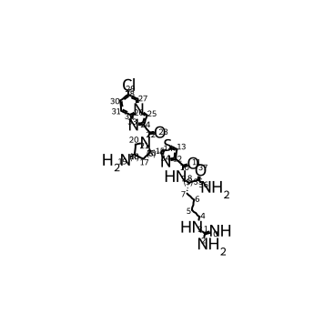 N=C(N)NCCCC[C@H](NC(=O)c1csc([C@@H]2C[C@@H](N)CN2C(=O)c2cn3cc(Cl)ccc3n2)n1)C(N)=O